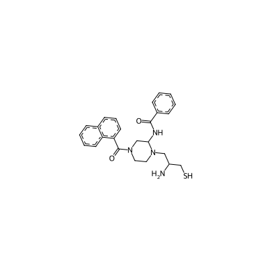 NC(CS)CN1CCN(C(=O)c2cccc3ccccc23)CC1NC(=O)c1ccccc1